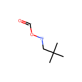 CC(C)(C)C[N]O[C]=O